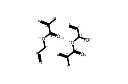 C=CC(O)OC(=O)C(=C)C.C=CCOC(=O)C(=C)C